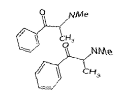 CNC(C)C(=O)c1ccccc1.CNC(C)C(=O)c1ccccc1